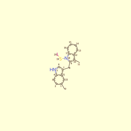 Cc1ccc2[nH]cc(Cc3c(C)c4ccccc4n3SI)c2c1